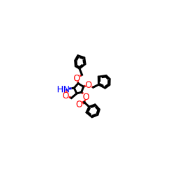 O=C(OC1C2CONC2C(OCc2ccccc2)C1OCc1ccccc1)c1ccccc1